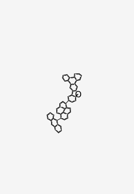 c1ccc2c(-c3ccc4ccc5c(-c6ccc7oc8cc9c%10ccccc%10c%10ccccc%10c9cc8c7c6)ccc6ccc3c4c65)c3ccccc3cc2c1